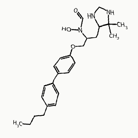 CCCCc1ccc(-c2ccc(OCC(CC3NCNC3(C)C)N(O)C=O)cc2)cc1